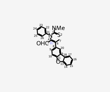 CNC(=S)N(/C(C=O)=C(\C)c1ccc2oc3ccccc3c2c1)c1ccccc1